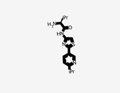 CC(C)c1ccc(-c2nc(NC(=O)[C@@H](N)C(C)C)cs2)cn1